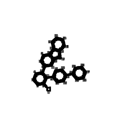 Clc1cccc(-c2ccc3c(c2)sc2ccccc23)c1-c1ccc(-c2ccccc2)cc1